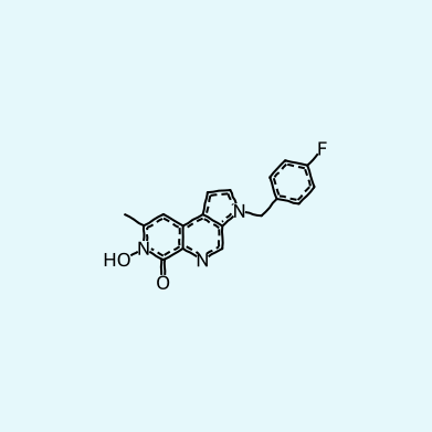 Cc1cc2c(ncc3c2ccn3Cc2ccc(F)cc2)c(=O)n1O